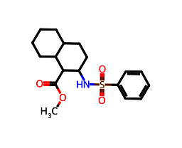 COC(=O)C1C(NS(=O)(=O)c2ccccc2)CCC2CCCCC21